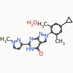 Cc1cc(C2CC2)cc(C)c1-n1cc2c(=O)[nH]c(-c3ccn(C)n3)nc2n1.O